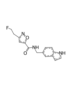 O=C(NCc1ccc2[nH]ccc2c1)c1cc(CCF)no1